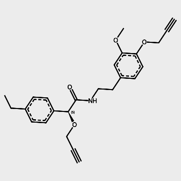 C#CCOc1ccc(CCNC(=O)[C@@H](OCC#C)c2ccc(CC)cc2)cc1OC